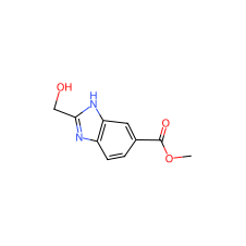 COC(=O)c1ccc2nc(CO)[nH]c2c1